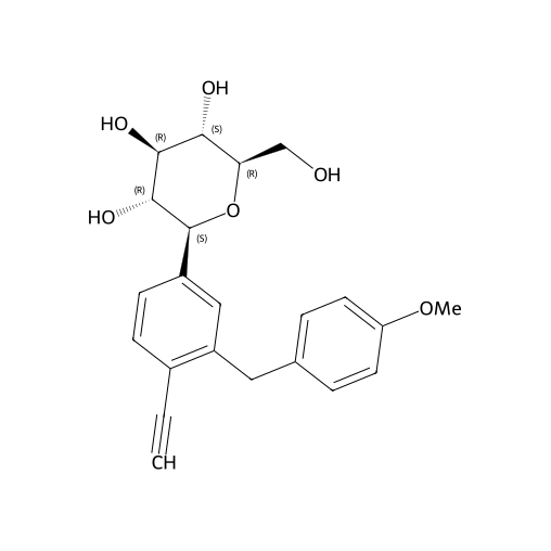 C#Cc1ccc([C@@H]2O[C@H](CO)[C@@H](O)[C@H](O)[C@H]2O)cc1Cc1ccc(OC)cc1